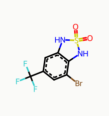 O=S1(=O)Nc2cc(C(F)(F)F)cc(Br)c2N1